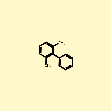 Cc1[c]ccc(C)c1-c1ccccc1